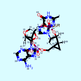 Cc1nc2c(ncn2[C@@H]2C[C@]34COP(=O)(O)O[C@H]5[C@H]6OC[C@]5(CO[P@@](=O)(S)O[C@@H]2[C@@H]3C4)O[C@H]6n2cnc3c(N)ncnc32)c(=O)[nH]1